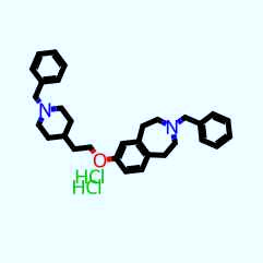 Cl.Cl.c1ccc(CN2CCc3ccc(OCCC4CCN(Cc5ccccc5)CC4)cc3CC2)cc1